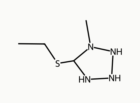 CCSC1NNNN1C